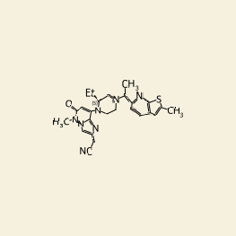 CC[C@H]1CN(C(C)c2ccc3cc(C)sc3n2)CCN1c1cc(=O)n(C)n2cc(CC#N)nc12